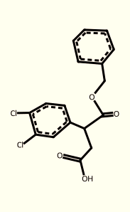 O=C(O)CC(C(=O)OCc1ccccc1)c1ccc(Cl)c(Cl)c1